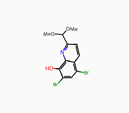 COC(OC)c1ccc2c(Br)cc(Br)c(O)c2n1